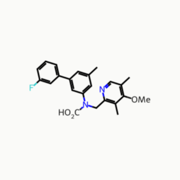 COc1c(C)cnc(CN(C(=O)O)c2cc(C)cc(-c3cccc(F)c3)c2)c1C